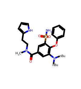 CCCCN(CCCC)c1cc(C(=O)N(C)CCc2ccc[nH]2)cc(S(N)(=O)=O)c1Oc1ccccc1